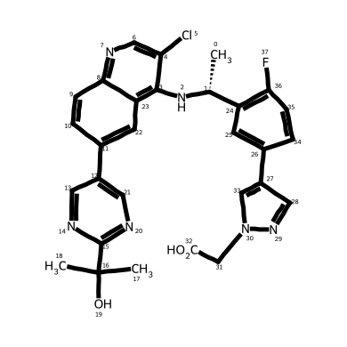 C[C@@H](Nc1c(Cl)cnc2ccc(-c3cnc(C(C)(C)O)nc3)cc12)c1cc(-c2cnn(CC(=O)O)c2)ccc1F